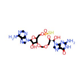 Nc1nc2c(ncn2C(O)[C@@H]2COCOC3C(COP(=O)(S)O2)OC(n2cnc4c(N)ncnc42)C3O)c(=O)[nH]1